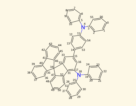 c1ccc(N(c2ccccc2)c2ccc(-c3cc(N(c4ccccc4)c4ccccc4)c4c(c3)C3(c5ccccc5-c5ccccc53)c3ccccc3-4)cc2)cc1